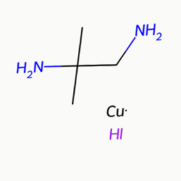 CC(C)(N)CN.I.[Cu]